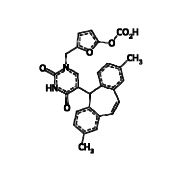 Cc1ccc2c(c1)C=Cc1cc(C)ccc1C2c1cn(Cc2ccc(OC(=O)O)o2)c(=O)[nH]c1=O